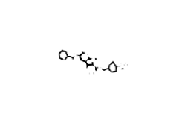 CCc1nc2c(cc1NC(=O)c1ccccc1)c(OC(C)C)c(C(=O)NCc1ccc(S(N)(=O)=O)cc1)n2C